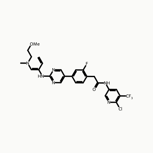 C=C/C(=C\N(C)CCOC)Nc1ncc(-c2ccc(CC(=O)Nc3cnc(Cl)c(C(F)(F)F)c3)c(F)c2)cn1